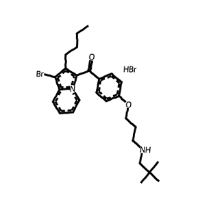 Br.CCCCc1c(Br)c2ccccn2c1C(=O)c1ccc(OCCCNCC(C)(C)C)cc1